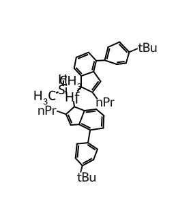 CCCC1=Cc2c(-c3ccc(C(C)(C)C)cc3)cccc2[CH]1[Hf]([CH]1C(CCC)=Cc2c(-c3ccc(C(C)(C)C)cc3)cccc21)[SiH](C)C